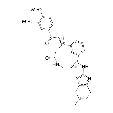 COc1ccc(C(=O)N[C@@H]2CC(=O)NC/C=C(/Nc3nc4c(s3)CN(C)CC4)c3cccc2c3)cc1OC